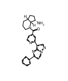 N[C@H]1CC[C@H]2CCCN(C(=O)c3ccnc(-c4cnn5ccc(-c6ccccc6)nc45)c3)[C@H]21